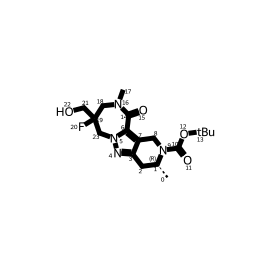 C[C@@H]1Cc2nn3c(c2CN1C(=O)OC(C)(C)C)C(=O)N(C)CC(F)(CO)C3